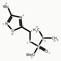 COP(=O)(SCc1nc(C(C)(C)C)no1)N(C)C